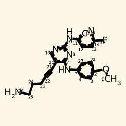 COc1ccc(Nc2nc(Nc3ccc(F)nc3)ncc2C#CCCCN)cc1